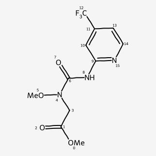 COC(=O)CN(OC)C(=O)Nc1cc(C(F)(F)F)ccn1